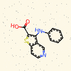 O=C(O)c1sc2ccncc2c1Nc1ccccc1